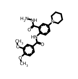 COc1ccc(C(=O)Nc2ccc(N3CCCCC3)cc2C(=O)NN)cc1OC